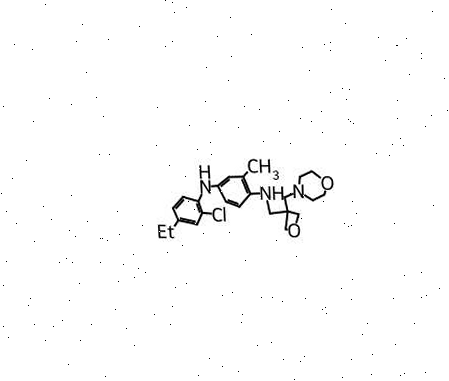 CCc1ccc(Nc2ccc(NCC3(CN4CCOCC4)COC3)c(C)c2)c(Cl)c1